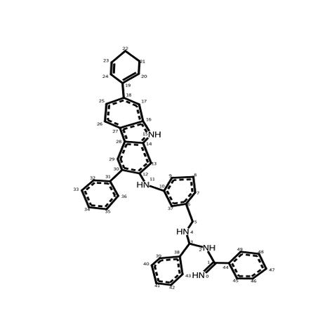 N=C(NC(NCc1cccc(Nc2cc3[nH]c4cc(C5=CCCC=C5)ccc4c3cc2-c2ccccc2)c1)c1ccccc1)c1ccccc1